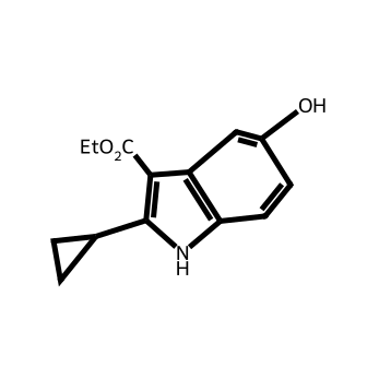 CCOC(=O)c1c(C2CC2)[nH]c2ccc(O)cc12